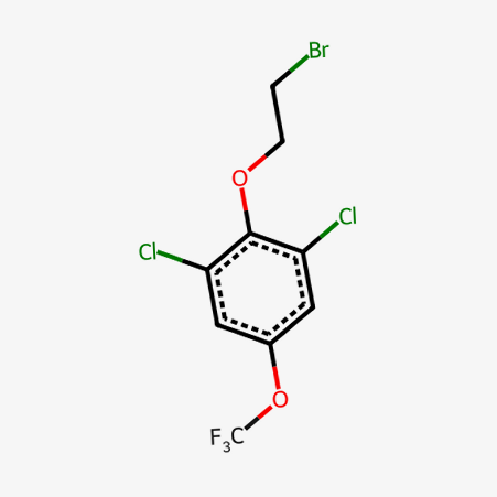 FC(F)(F)Oc1cc(Cl)c(OCCBr)c(Cl)c1